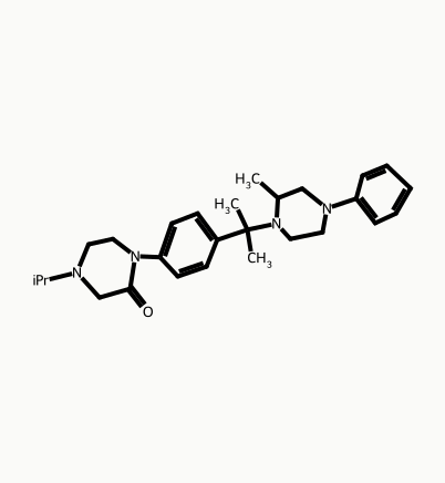 CC(C)N1CCN(c2ccc(C(C)(C)N3CCN(c4ccccc4)CC3C)cc2)C(=O)C1